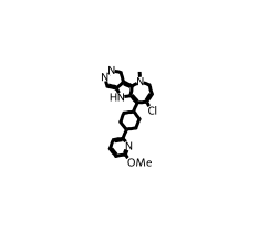 COc1cccc(C2CCC(C3=c4[nH]c5c(c4N(C)CC=C3Cl)CN=NC=5)CC2)n1